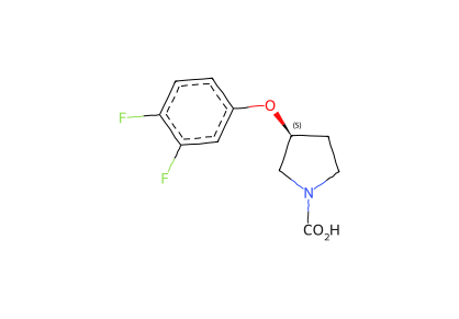 O=C(O)N1CC[C@H](Oc2ccc(F)c(F)c2)C1